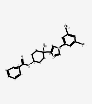 Cc1cc(N)cc(-n2cnc([C@]3(O)CC[C@@H](OC(=O)c4ccccc4)CC3)c2)c1